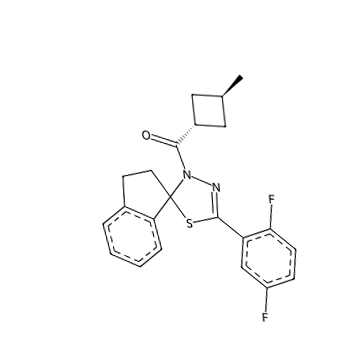 C[C@H]1C[C@H](C(=O)N2N=C(c3cc(F)ccc3F)SC23CCc2ccccc23)C1